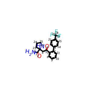 NC(=O)C1([CH]C(=O)c2ccccc2-c2ccc(C(F)(F)F)cc2)CCCN1